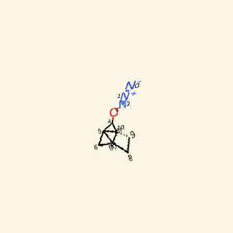 [N-]=[N+]=NOC1C23C[C@@]24CC[C@@]134